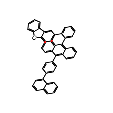 c1ccc(-c2c3ccccc3c(-c3ccc(-c4cccc5ccccc45)cc3)c3ccccc23)c(-c2ccc3oc4ccccc4c3c2)c1